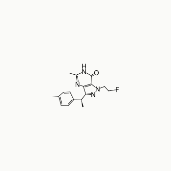 Cc1ccc([C@H](C)c2nn(CCF)c3c(=O)[nH]c(C)nc23)cc1